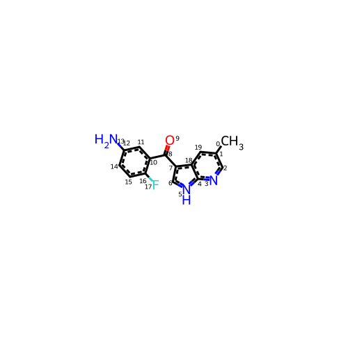 Cc1cnc2[nH]cc(C(=O)c3cc(N)ccc3F)c2c1